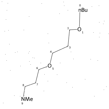 CCCCOCCCOCCCNC